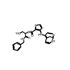 O=C(NC(CO)C(=O)NCc1ccccc1)c1sccc1NC1=C2C=CNC(=NC=C1)C2